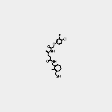 C=C(CCC(=O)NCC1=CCCCC(CS)=C1C)NC(=O)COc1ccc(Cl)c(F)c1